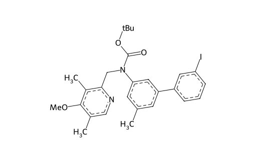 COc1c(C)cnc(CN(C(=O)OC(C)(C)C)c2cc(C)cc(-c3cccc(I)c3)c2)c1C